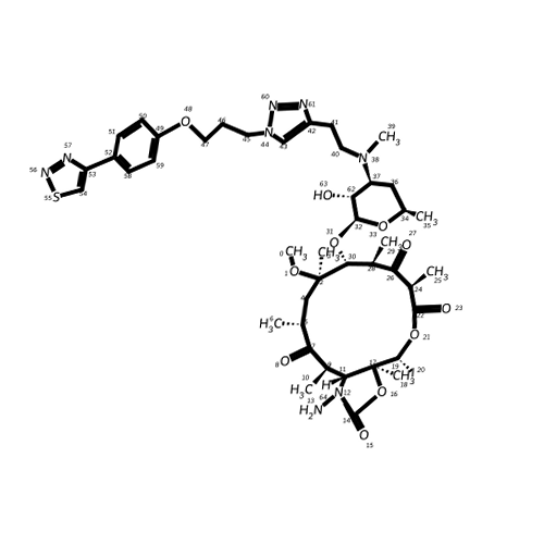 CO[C@]1(C)C[C@@H](C)C(=O)[C@H](C)[C@H]2N(N)C(=O)O[C@]2(C)[C@@H](I)OC(=O)[C@H](C)C(=O)[C@H](C)[C@H]1O[C@@H]1O[C@H](C)C[C@H](N(C)CCc2cn(CCCOc3ccc(-c4csnn4)cc3)nn2)[C@H]1O